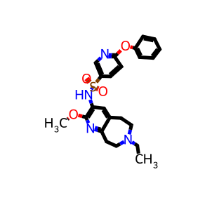 CCN1CCc2cc(NS(=O)(=O)c3ccc(Oc4ccccc4)nc3)c(OC)nc2CC1